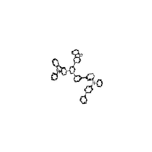 c1ccc(-c2ccc(N(c3ccccc3)c3cccc(-c4cccc(-c5cc(-c6ccc7oc8ccccc8c7c6)cc(-c6ccc7c(c6)c6ccccc6n7-c6ccccc6)c5)c4)c3)cc2)cc1